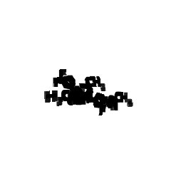 Cc1cn(-c2ccc(C=C3CC(C)CN([C@H](c4ccc(F)c(F)c4)[C@@H](C)O)C3=O)cc2F)cn1